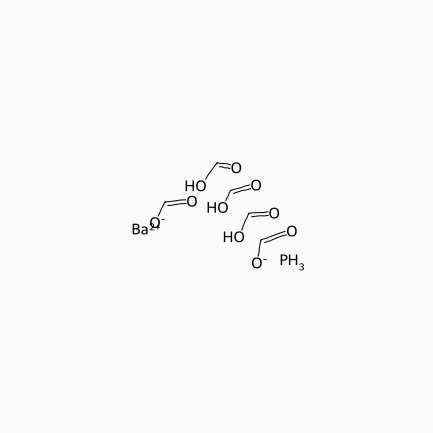 O=CO.O=CO.O=CO.O=C[O-].O=C[O-].P.[Ba+2]